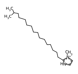 CC(C)CCCCCCCCCCCCCCc1[nH]cc[n+]1C